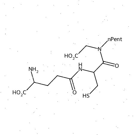 CCCCCN(CC(=O)O)C(=O)C(CS)NC(=O)CCC(N)C(=O)O